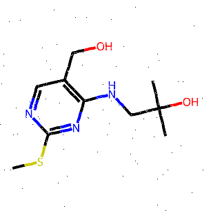 CSc1ncc(CO)c(NCC(C)(C)O)n1